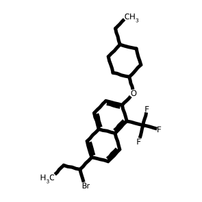 CCC1CCC(Oc2ccc3cc(C(Br)CC)ccc3c2C(F)(F)F)CC1